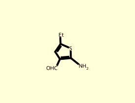 CCc1cc(C=O)c(N)s1